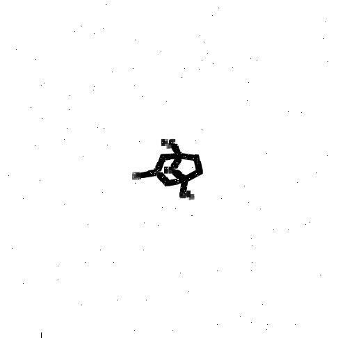 CC(C)N1CC2(C)CCC(C)(C1)N2